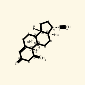 C#C[C@H]1CC[C@H]2[C@@H]3CCC4=CC(=O)CC(=C)[C@@H]4[C@H]3CC[C@@H]21